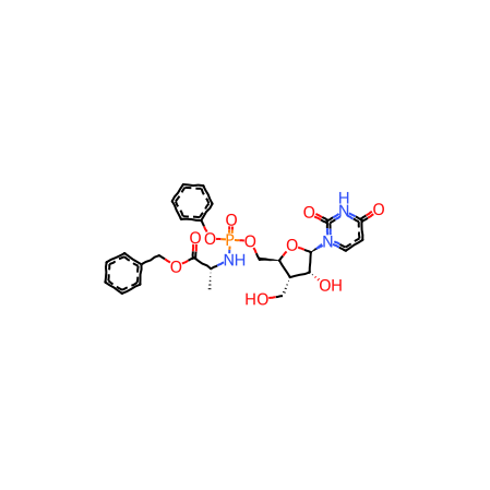 C[C@@H](NP(=O)(OC[C@H]1O[C@@H](n2ccc(=O)[nH]c2=O)[C@H](O)[C@@H]1CO)Oc1ccccc1)C(=O)OCc1ccccc1